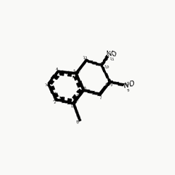 Cc1cccc2c1CC(N=O)C(N=O)C2